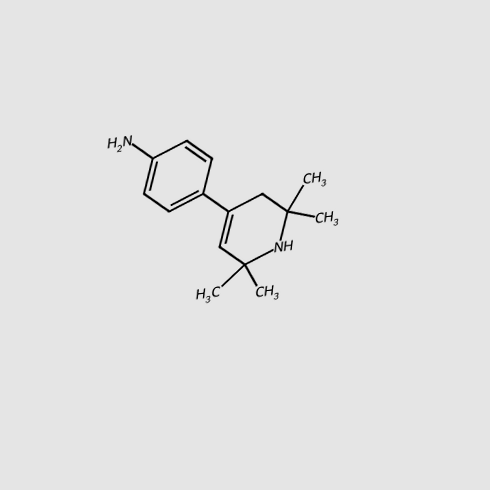 CC1(C)C=C(c2ccc(N)cc2)CC(C)(C)N1